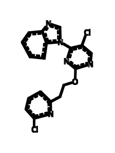 Clc1cccc(CCOc2ncc(Cl)c(-n3cnc4ccccc43)n2)n1